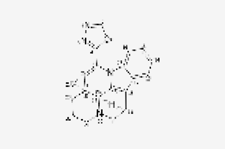 CC[C@@]12C=C(c3nnco3)n3c4c(c5ccccc53)CCN(CCC1)[C@H]42